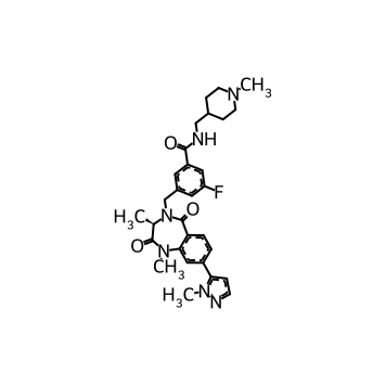 C[C@@H]1C(=O)N(C)c2cc(-c3ccnn3C)ccc2C(=O)N1Cc1cc(F)cc(C(=O)NCC2CCN(C)CC2)c1